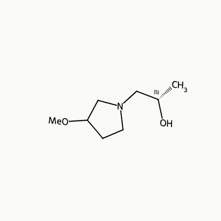 COC1CCN(C[C@H](C)O)C1